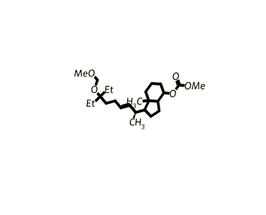 CCC(CC)(CC/C=C/[C@H](C)C1CCC2C(OC(=O)OC)CCCC21C)OCOC